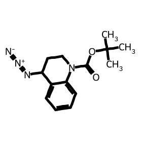 CC(C)(C)OC(=O)N1CCC(N=[N+]=[N-])c2ccccc21